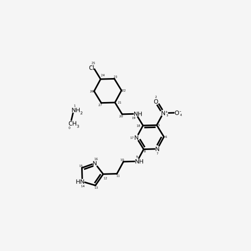 CN.O=[N+]([O-])c1cnc(NCCc2c[nH]cn2)nc1NCC1CCC(Cl)CC1